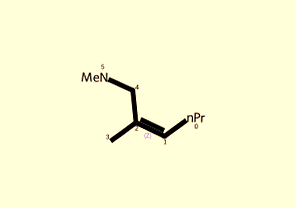 CCC/C=C(/C)CNC